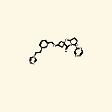 O=C1N2C(CC[C@H]2c2cnccn2)OC12CC(OCc1cccc(CCn3cnnc3)c1)C2